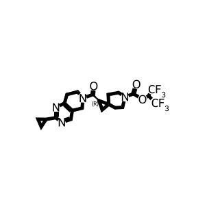 O=C(OC(C(F)(F)F)C(F)(F)F)N1CCC2(CC1)C[C@H]2C(=O)N1CCc2nc(C3CC3)ncc2C1